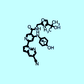 CC(C)(O)c1coc(CNC(=O)c2cnc(-c3ccc4cc(C#N)cnn34)cc2NC23CCC(O)(CC2)CC3)n1